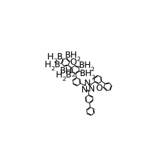 Bc1c(B)c(B)c2c(oc3c(B)c(B)c(-c4cccc(-c5nc(-c6ccc(-c7ccccc7)cc6)nc(-c6cccc7c6oc6ccccc67)n5)c4)c(B)c32)c1B